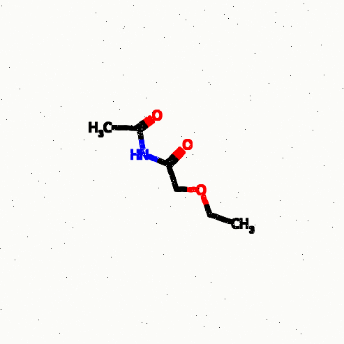 CCOCC(=O)NC(C)=O